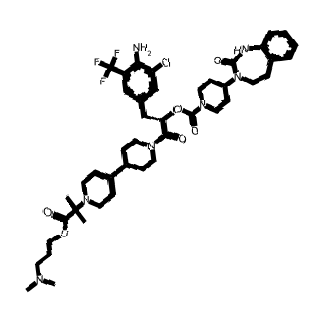 CN(C)CCCOC(=O)C(C)(C)N1CCC(C2CCN(C(=O)[C@@H](Cc3cc(Cl)c(N)c(C(F)(F)F)c3)OC(=O)N3CCC(N4CCc5ccccc5NC4=O)CC3)CC2)CC1